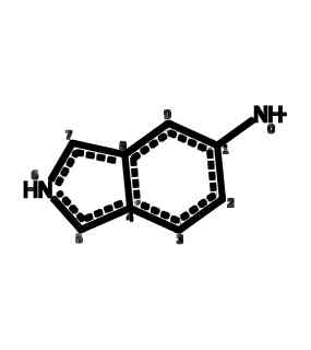 [NH]c1ccc2c[nH]cc2c1